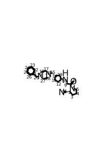 N#C[C@@H]1CCCN1C(=O)CN[C@@H]1CC[C@H](CN2CCN(Cc3ccccc3)CC2)C1